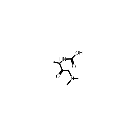 CC(NC(=O)O)C(=O)CN(C)C